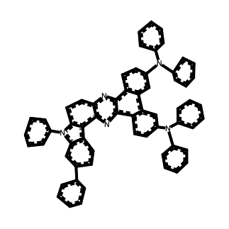 c1ccc(-c2ccc3c4c5nc6c7ccc(N(c8ccccc8)c8ccccc8)cc7c7cc(N(c8ccccc8)c8ccccc8)ccc7c6nc5ccc4n(-c4ccccc4)c3c2)cc1